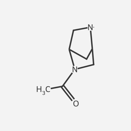 CC(=O)N1CC2CC1C[N]2